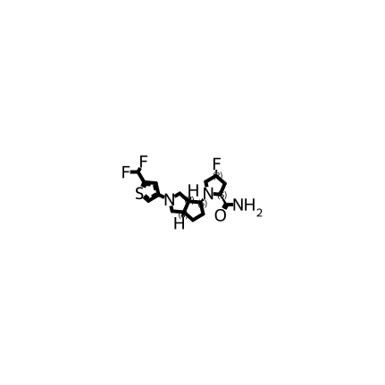 NC(=O)[C@@H]1C[C@@H](F)CN1[C@H]1CC[C@@H]2CN(c3csc(C(F)F)c3)C[C@@H]21